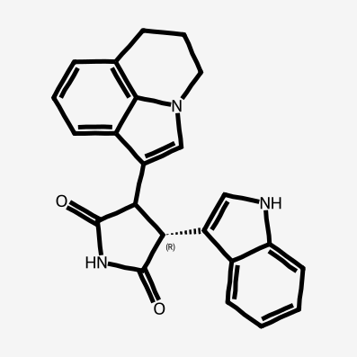 O=C1NC(=O)[C@@H](c2c[nH]c3ccccc23)C1c1cn2c3c(cccc13)CCC2